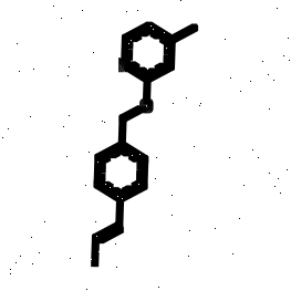 C/C=C/c1ccc(COc2cc(C)ccn2)cc1